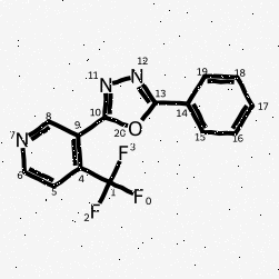 FC(F)(F)c1ccncc1-c1nnc(-c2ccccc2)o1